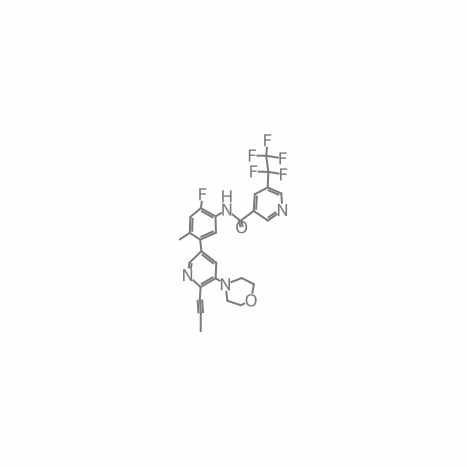 CC#Cc1ncc(-c2cc(NC(=O)c3cncc(C(F)(F)C(F)(F)F)c3)c(F)cc2C)cc1N1CCOCC1